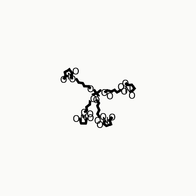 O=C(CCC(=O)ON1C(=O)CCC1=O)COCC(COCCCCCON1C(=O)CCC1=O)(COCCCCC(=O)ON1C(=O)CCC1=O)COCCCC(=O)ON1C(=O)CCC1=O